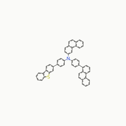 c1ccc2c(c1)ccc1ccc(N(c3ccc(-c4ccc5c(c4)sc4ccccc45)cc3)c3ccc(-c4cccc5c4ccc4ccccc45)cc3)cc12